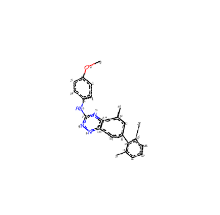 COc1ccc(Nc2nnc3cc(-c4c(C)cccc4C)cc(C)c3n2)cc1